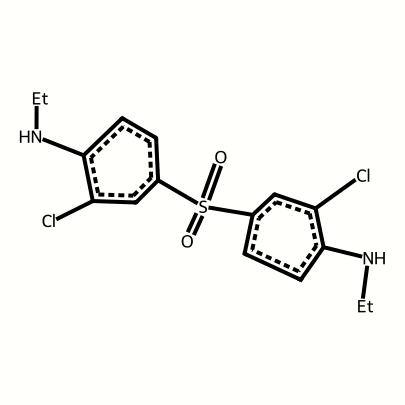 CCNc1ccc(S(=O)(=O)c2ccc(NCC)c(Cl)c2)cc1Cl